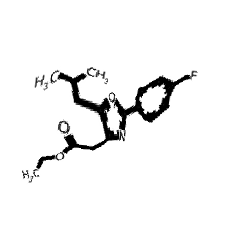 CCOC(=O)Cc1nc(-c2ccc(F)cc2)oc1CC(C)C